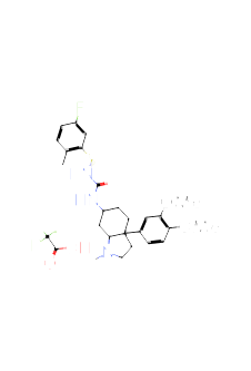 COc1ccc(C23CCC(NC(=O)NSc4cc(F)ccc4C)CC2N(C)CC3)cc1OC.O=C(O)C(F)(F)F